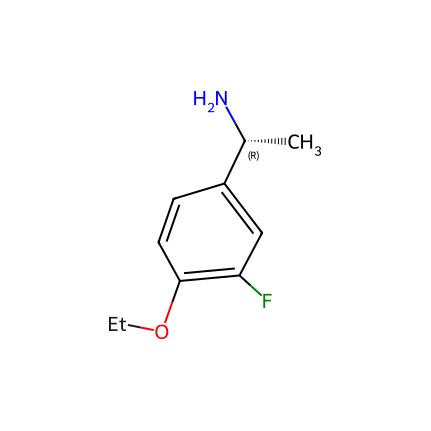 CCOc1ccc([C@@H](C)N)cc1F